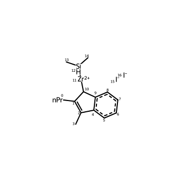 CCCC1=C(C)c2ccccc2[CH]1[Zr+2][SiH](C)C.[I-].[I-]